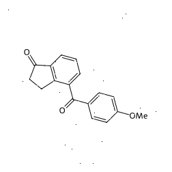 COc1ccc(C(=O)c2cccc3c2CCC3=O)cc1